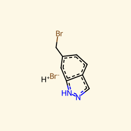 BrCc1ccc2cn[nH]c2c1.[Br-].[H+]